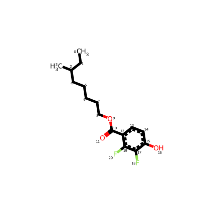 CCC(C)CCCCCOC(=O)c1ccc(O)c(F)c1F